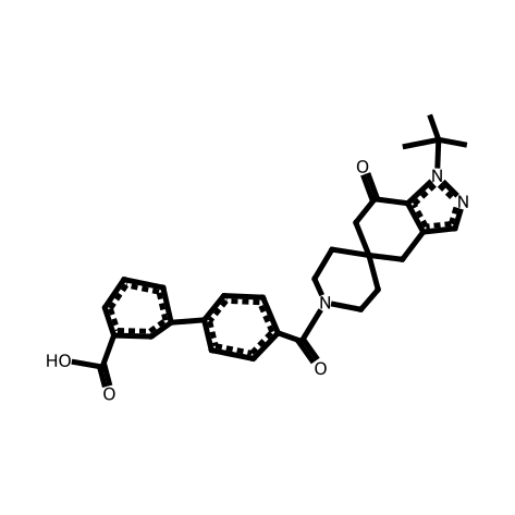 CC(C)(C)n1ncc2c1C(=O)CC1(CCN(C(=O)c3ccc(-c4cccc(C(=O)O)c4)cc3)CC1)C2